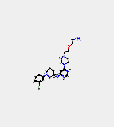 NCCOCCN1CCN(c2cc(N[C@@H]3CCCN(c4cccc(F)c4)C3)ncn2)CC1